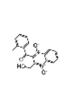 Cc1ccccc1C(=O)c1c(CO)[n+]([O-])c2ccccc2[n+]1[O-]